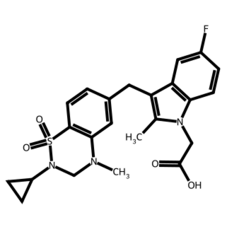 Cc1c(Cc2ccc3c(c2)N(C)CN(C2CC2)S3(=O)=O)c2cc(F)ccc2n1CC(=O)O